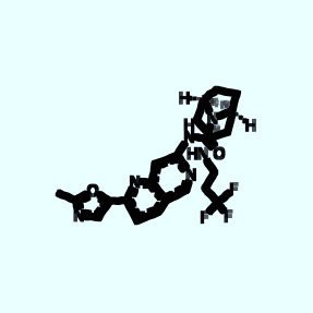 Cc1ncc(-c2ccc3cnc(NC(=O)N4[C@@H]5CC[C@H]4C[C@H](NCCC(F)(F)F)C5)cc3n2)o1